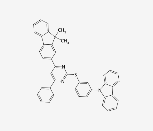 CC1(C)c2ccccc2-c2ccc(-c3cc(-c4ccccc4)nc(Sc4cccc(-n5c6ccccc6c6ccccc65)c4)n3)cc21